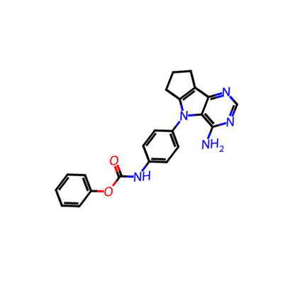 Nc1ncnc2c3c(n(-c4ccc(NC(=O)Oc5ccccc5)cc4)c12)CCC3